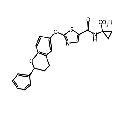 O=C(NC1(C(=O)O)CC1)c1cnc(Oc2ccc3c(c2)CC[C@@H](c2ccccc2)O3)s1